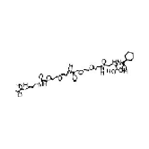 CN[C@@H](CCCCNC(=O)COCCOCCNC(=O)COCCOCCNC(=O)CC[C@H](NC(=O)C1CCCCC1)C(O)O)C(C)=O